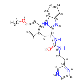 COc1ccc(C[C@@H](NC(=O)NCCc2cnccn2)c2nc3ccccc3[nH]2)cc1